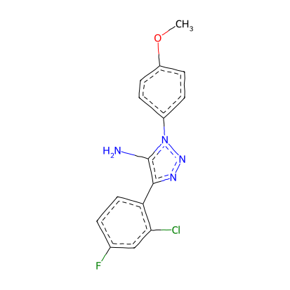 COc1ccc(-n2nnc(-c3ccc(F)cc3Cl)c2N)cc1